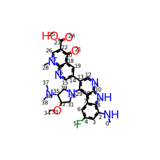 CNc1cc(F)cc2c1[nH]c1ncc(-c3cnc4c(c3)c(=O)c(C(=O)O)cn4C)c(N3CC(OC)[C@@H](N(C)C)C3)c12